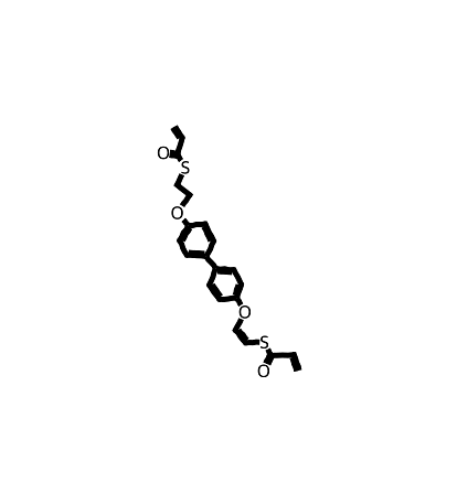 C=CC(=O)S/C=C\Oc1ccc(-c2ccc(OCCSC(=O)C=C)cc2)cc1